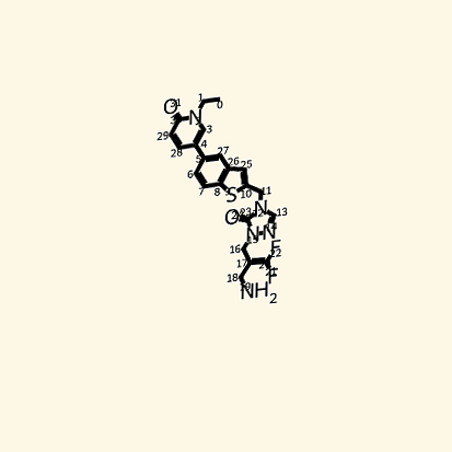 CCn1cc(-c2ccc3sc(Cn4cnn(CC(CN)=C(F)F)c4=O)cc3c2)ccc1=O